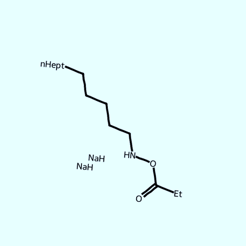 CCCCCCCCCCCCNOC(=O)CC.[NaH].[NaH]